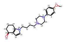 COc1ccc(N2CCN(CCCCn3ccc4c3CCCC4=O)CC2)cc1